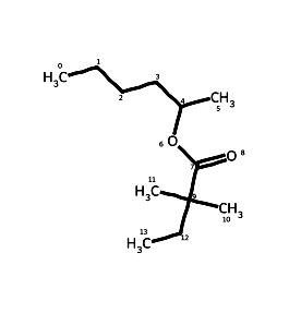 CCCCC(C)OC(=O)C(C)(C)CC